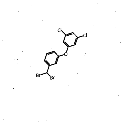 Clc1cc(Cl)cc(Oc2cccc(C(Br)Br)c2)c1